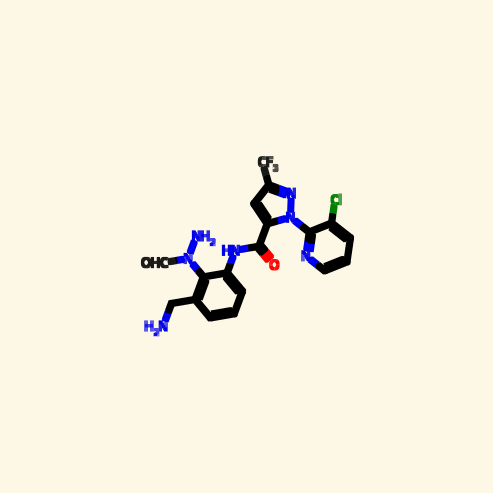 NCc1cccc(NC(=O)c2cc(C(F)(F)F)nn2-c2ncccc2Cl)c1N(N)C=O